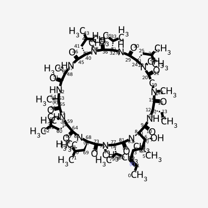 C/C=C/C[C@@H](C)[C@@H](O)[C@H]1C(=O)N[C@@H](CC)C(=O)N(C)CC(=O)N(C)[C@@H](CC(C)C)C(=O)N[C@@H](C(C)C)C(=O)N(C)[C@@H](CC(C)C)C(=O)N[C@@H](C)C(=O)N[C@H](C)C(=O)N(C)[C@@H](CC(C)C)C(=O)N(C)[C@H](CC(C)C)C(=O)N(C)[C@@H](C(C)C)C(=O)N1C